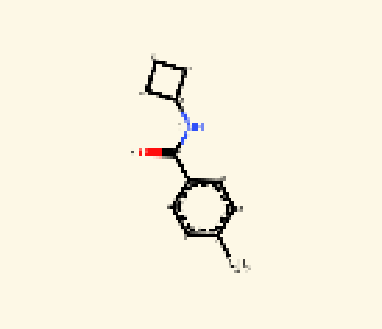 Cc1ccc(C(=O)NC2CCC2)cc1